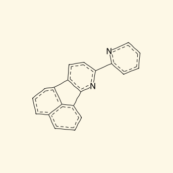 c1ccc(-c2ccc3c(n2)-c2cccc4cccc-3c24)nc1